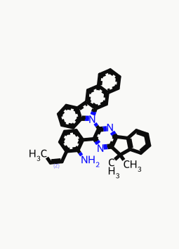 C/C=C\c1cccc(-c2nc3c(nc2-n2c4ccccc4c4cc5ccccc5cc42)C2=C(C=C=C=C2)C3(C)C)c1N